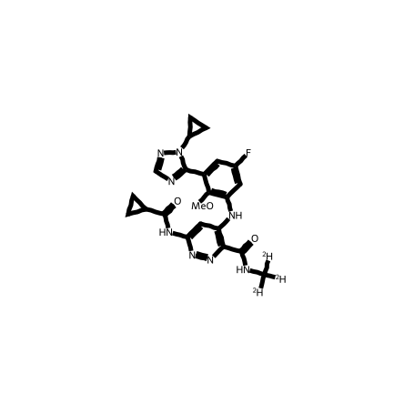 [2H]C([2H])([2H])NC(=O)c1nnc(NC(=O)C2CC2)cc1Nc1cc(F)cc(-c2ncnn2C2CC2)c1OC